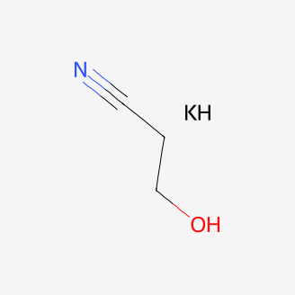 N#CCCO.[KH]